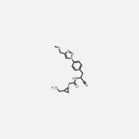 COCc1cn(-c2ccc(CC(C#N)NC(=O)C[C@H]3CC3CN)cc2)nn1